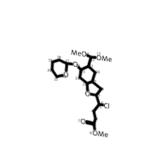 COC(=O)CCC(Cl)C1CC2CC(C(OC)OC)C(OC3CCCCO3)CC2O1